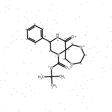 CC(C)(C)OC(=O)N1CC(c2ccccc2)NC(=O)C12COCCOC2